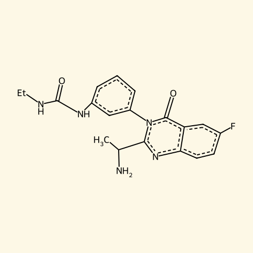 CCNC(=O)Nc1cccc(-n2c(C(C)N)nc3ccc(F)cc3c2=O)c1